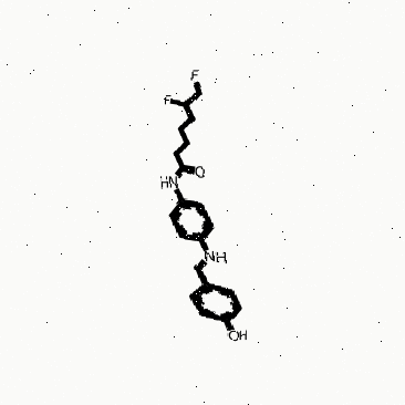 O=C(CCCCC(F)CF)Nc1ccc(NCc2ccc(O)cc2)cc1